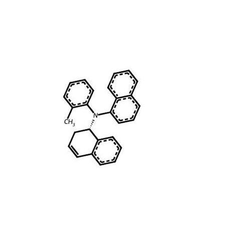 Cc1ccccc1N(c1cccc2ccccc12)[C@H]1CC=Cc2ccccc21